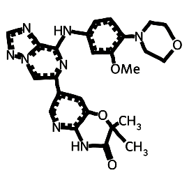 COc1cc(Nc2nc(-c3cnc4c(c3)OC(C)(C)C(=O)N4)cn3ncnc23)ccc1N1CCOCC1